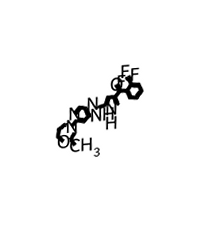 CC1CN(c2cc3[nH]c(-c4cc(C(=O)c5ccccc5C(F)(F)F)c[nH]4)nc3cn2)CCCO1